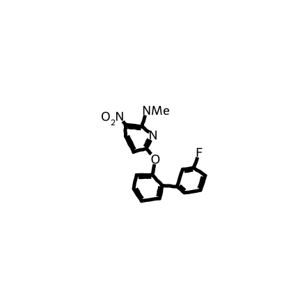 CNc1nc(Oc2ccccc2-c2cccc(F)c2)ccc1[N+](=O)[O-]